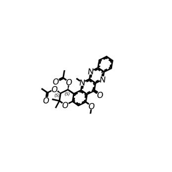 COc1cc2c(c3c1c(=O)c1nc4ccccc4nc1n3C)[C@H](OC(C)=O)[C@H](OC(C)=O)C(C)(C)O2